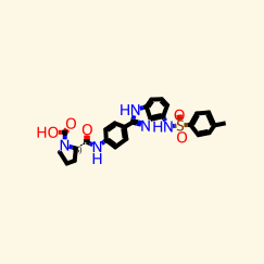 Cc1ccc(S(=O)(=O)Nc2cccc3[nH]c(-c4ccc(NC(=O)[C@@H]5CCCN5C(=O)O)cc4)nc23)cc1